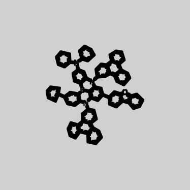 c1ccc(-c2ccc3c(c2)B2c4ccc(N(c5ccccc5)c5ccccc5)cc4N(c4ccc5c6ccccc6c6ccccc6c5c4)c4cc(-c5ccc6c(c5)oc5ccccc56)cc(c42)N3c2ccc3c4ccccc4c4ccccc4c3c2)cc1